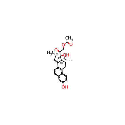 CC(=O)OCC(=O)[C@@]1(O)[C@@H](C)C=C2c3ccc4cc(O)ccc4c3CC[C@@]21C